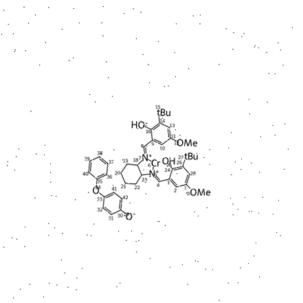 COc1cc(C=[N+]2[Cr][N+](=Cc3cc(OC)cc(C(C)(C)C)c3O)C3CCCCC32)c(O)c(C(C)(C)C)c1.[O-]c1ccc(Oc2ccccc2)cc1